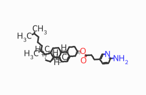 CC(C)CCC[C@@H](C)[C@H]1CC[C@H]2[C@@H]3CC=C4C[C@@H](OC(=O)CCc5ccc(N)nc5)CC[C@]4(C)[C@H]3CC[C@]12C